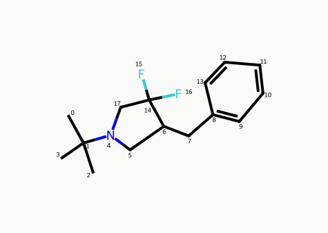 CC(C)(C)N1CC(Cc2ccccc2)C(F)(F)C1